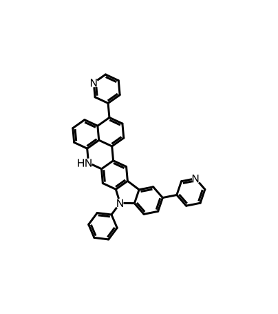 c1ccc(-n2c3ccc(-c4cccnc4)cc3c3cc4c(cc32)Nc2cccc3c(-c5cccnc5)ccc-4c23)cc1